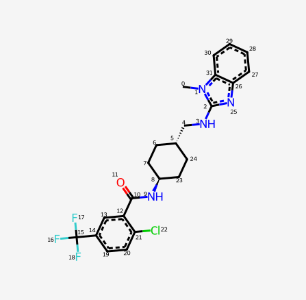 Cn1c(NC[C@H]2CC[C@H](NC(=O)c3cc(C(F)(F)F)ccc3Cl)CC2)nc2ccccc21